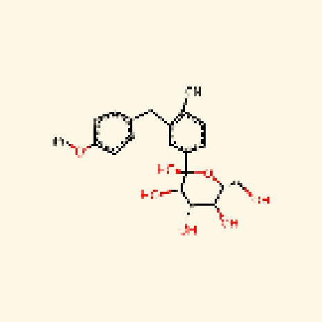 CC(C)Oc1ccc(Cc2cc([C@]3(O)O[C@H](CO)[C@@H](O)[C@H](O)[C@H]3O)ccc2C#N)cc1